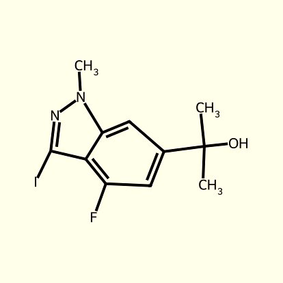 Cn1nc(I)c2c(F)cc(C(C)(C)O)cc21